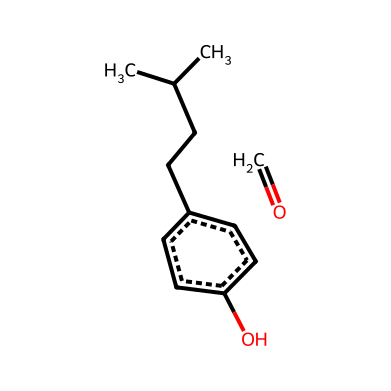 C=O.CC(C)CCc1ccc(O)cc1